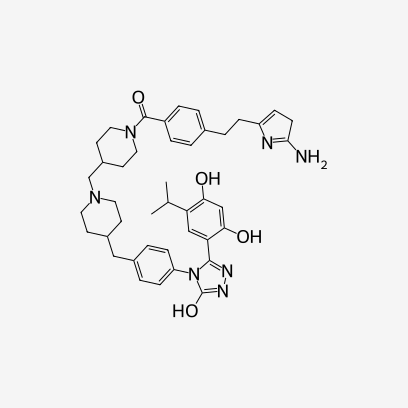 CC(C)c1cc(-c2nnc(O)n2-c2ccc(CC3CCN(CC4CCN(C(=O)c5ccc(CCC6=CCC(N)=N6)cc5)CC4)CC3)cc2)c(O)cc1O